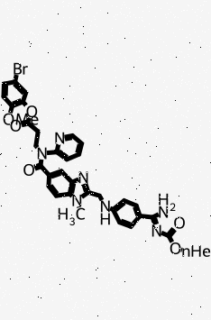 CCCCCCOC(=O)/N=C(\N)c1ccc(NCc2nc3cc(C(=O)N(CCC(=O)Oc4cc(Br)ccc4OC)c4ccccn4)ccc3n2C)cc1